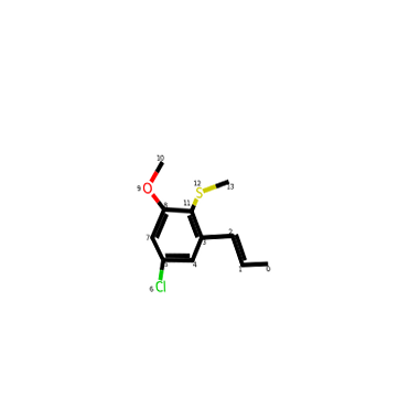 C/C=C/c1cc(Cl)cc(OC)c1SC